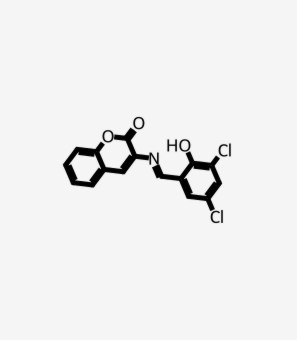 O=c1oc2ccccc2cc1N=Cc1cc(Cl)cc(Cl)c1O